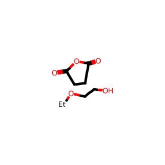 CCOCCO.O=C1CCC(=O)O1